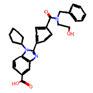 O=C(O)c1ccc2c(c1)nc(-c1ccc(C(=O)N(CCO)Cc3ccccc3)cc1)n2C1CCCC1